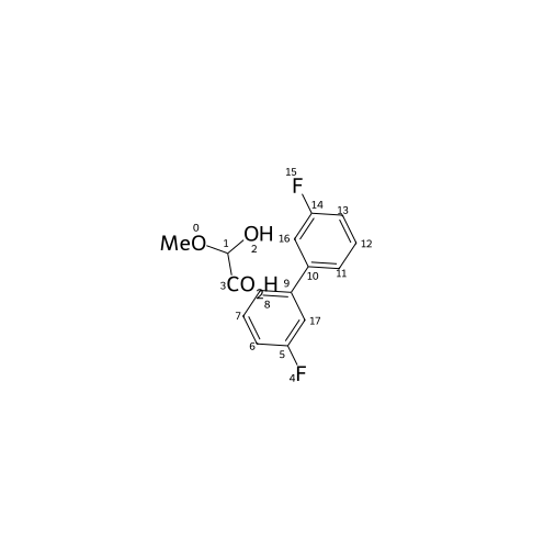 COC(O)C(=O)O.Fc1cccc(-c2cccc(F)c2)c1